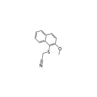 COc1ccc2ccccc2c1SCC#N